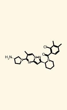 Cc1cn2nc([C@@H]3CCCCN3C(=O)c3ccc(C)c(C)c3Cl)cc2nc1N1CC[C@H](N)C1